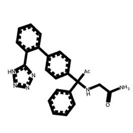 CC(=O)C(NCC(N)=O)(c1ccccc1)c1ccc(-c2ccccc2-c2nnn[nH]2)cc1